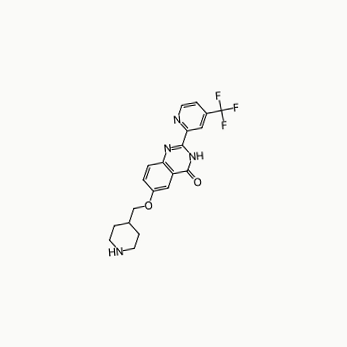 O=c1[nH]c(-c2cc(C(F)(F)F)ccn2)nc2ccc(OCC3CCNCC3)cc12